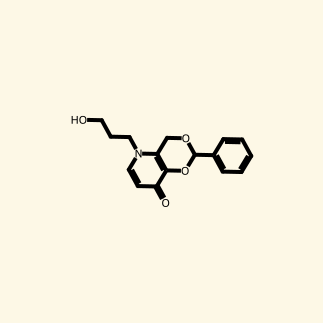 O=c1ccn(CCCO)c2c1OC(c1ccccc1)OC2